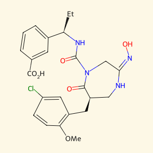 CC[C@@H](NC(=O)N1C/C(=N\O)NC[C@@H](Cc2cc(Cl)ccc2OC)C1=O)c1cccc(C(=O)O)c1